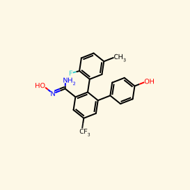 Cc1ccc(F)c(-c2c(/C(N)=N/O)cc(C(F)(F)F)cc2-c2ccc(O)cc2)c1